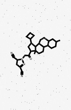 CC1CCC2C(CCC3C2CCC2(C)C(C(=O)CN4N=C(C#N)CC4C#N)CC(C4CCC4)C32)C1